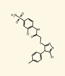 CCc1nnc(SCC(=O)Nc2ccc(S(N)(=O)=O)cc2Cl)n1-c1ccc(C)cc1